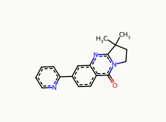 CC1(C)CCn2c1nc1cc(-c3ccccn3)ccc1c2=O